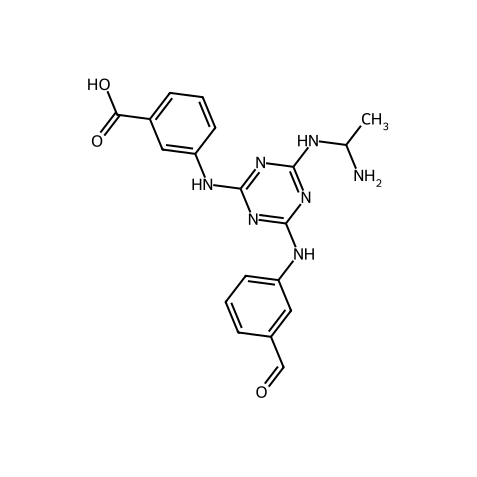 CC(N)Nc1nc(Nc2cccc(C=O)c2)nc(Nc2cccc(C(=O)O)c2)n1